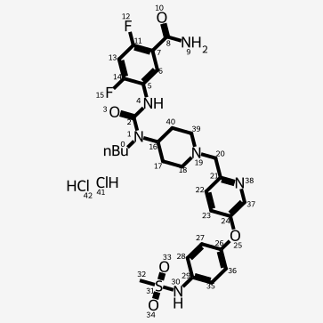 CCCCN(C(=O)Nc1cc(C(N)=O)c(F)cc1F)C1CCN(Cc2ccc(Oc3ccc(NS(C)(=O)=O)cc3)cn2)CC1.Cl.Cl